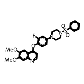 COc1cc2nccc(Oc3ccc(N4CCN(S(=O)(=O)c5ccccc5)CC4)cc3F)c2cc1OC